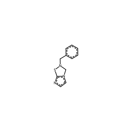 c1ccc(CN2Cn3ccnc3S2)cc1